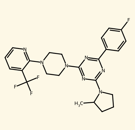 CC1CCCN1c1nc(-c2ccc(F)cc2)nc(N2CCN(c3ncccc3C(F)(F)F)CC2)n1